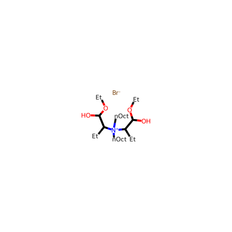 CCCCCCCC[N+](CCCCCCCC)(C(CC)C(O)OCC)C(CC)C(O)OCC.[Br-]